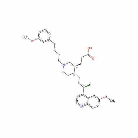 COc1cccc(CCCCN2CC[C@@H](CC[C@@H](F)c3ccnc4ccc(OC)cc34)[C@H](CCC(=O)O)C2)c1